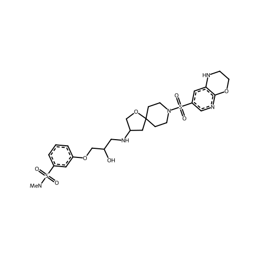 CNS(=O)(=O)c1cccc(OCC(O)CNC2COC3(CCN(S(=O)(=O)c4cnc5c(c4)NCCO5)CC3)C2)c1